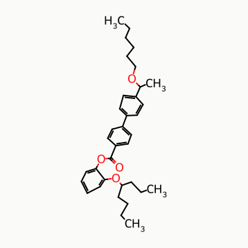 CCCCCCOC(C)c1ccc(-c2ccc(C(=O)Oc3ccccc3OC(CCC)CCCC)cc2)cc1